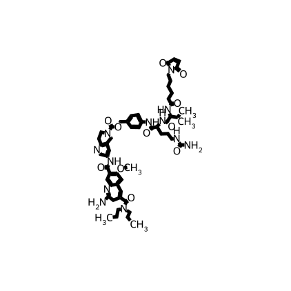 CCCN(CCC)C(=O)C1=Cc2cc(OC)c(C(=O)Nc3cnc4c(c3)CN(C(=O)OCc3ccc(NC(=O)C(CCCNC(N)=O)NC(=O)C(NC(=O)CCCCCN5C(=O)C=CC5=O)C(C)C)cc3)CC4)cc2N=C(N)C1